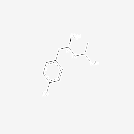 COC(C)N[C@@H](Cc1ccc(O)cc1)C(=O)O